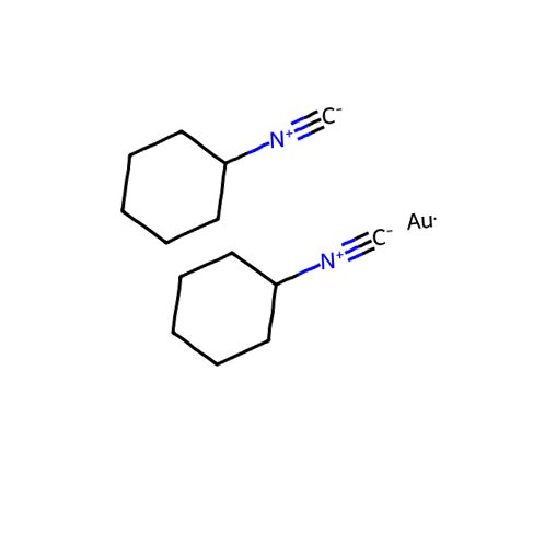 [Au].[C-]#[N+]C1CCCCC1.[C-]#[N+]C1CCCCC1